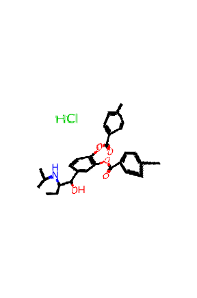 CCC(NC(C)C)C(O)c1ccc(OC(=O)c2ccc(C)cc2)c(OC(=O)c2ccc(C)cc2)c1.Cl